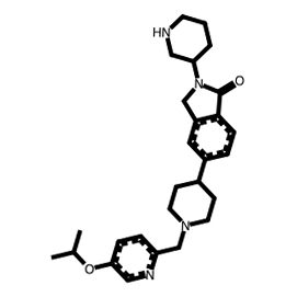 CC(C)Oc1ccc(CN2CCC(c3ccc4c(c3)CN(C3CCCNC3)C4=O)CC2)nc1